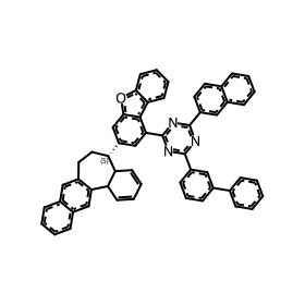 C1=CC2c3cc4ccccc4cc3CC[C@H](c3cc(-c4nc(-c5cccc(-c6ccccc6)c5)nc(-c5ccc6ccccc6c5)n4)c4c(c3)oc3ccccc34)C2C=C1